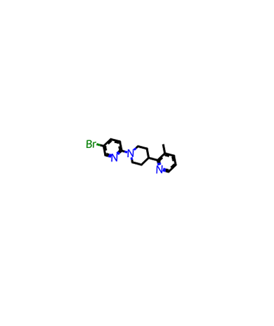 Cc1cccnc1C1CCN(c2ccc(Br)cn2)CC1